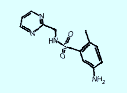 Cc1ccc(N)cc1S(=O)(=O)NCc1ncccn1